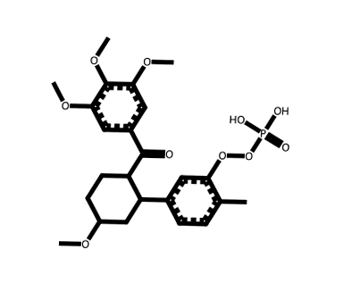 COc1cc(C(=O)C2CCC(OC)CC2c2ccc(C)c(OOP(=O)(O)O)c2)cc(OC)c1OC